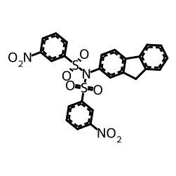 O=[N+]([O-])c1cccc(S(=O)(=O)N(c2ccc3c(c2)Cc2ccccc2-3)S(=O)(=O)c2cccc([N+](=O)[O-])c2)c1